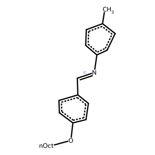 CCCCCCCCOc1ccc(/C=N/c2ccc(C)cc2)cc1